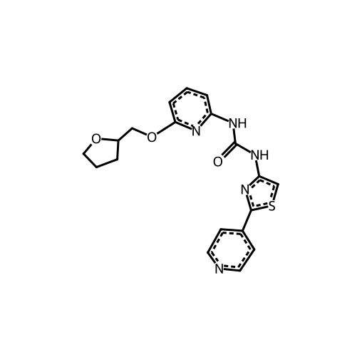 O=C(Nc1cccc(OCC2CCCO2)n1)Nc1csc(-c2ccncc2)n1